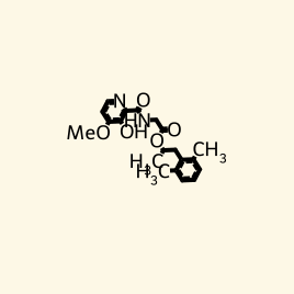 COc1ccnc(C(=O)NCC(=O)OC(C)Cc2c(C)cccc2C)c1O